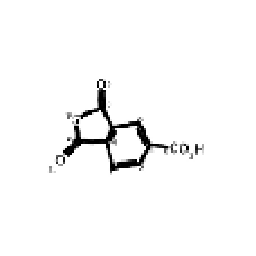 O=C(O)c1ccc2c(c1)C(=O)SC2=O